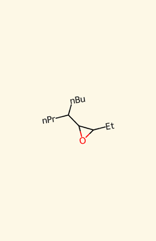 CCCCC(CCC)C1OC1CC